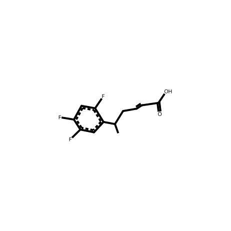 CC(C/C=C/C(=O)O)c1cc(F)c(F)cc1F